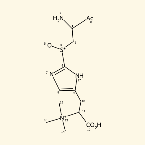 CC(=O)C(N)C[S+]([O-])c1ncc(CC(C(=O)O)[N+](C)(C)C)[nH]1